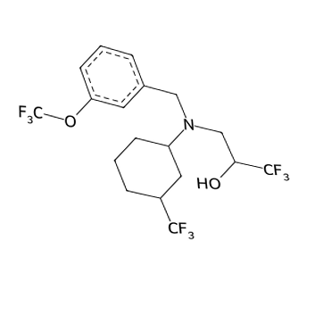 OC(CN(Cc1cccc(OC(F)(F)F)c1)C1CCCC(C(F)(F)F)C1)C(F)(F)F